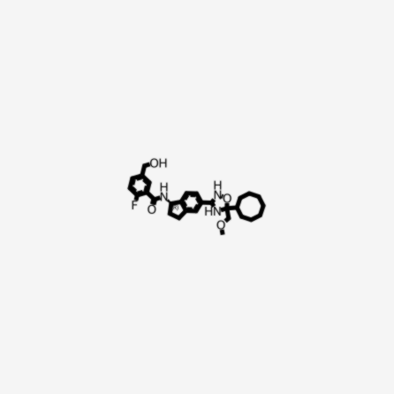 COCC1(C2CCCCCCC2)NC(c2ccc3c(c2)CC[C@H]3NC(=O)c2cc(CO)ccc2F)NO1